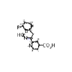 O=C(O)c1ccnc(/C(Cc2cccc(F)c2)=N/O)c1